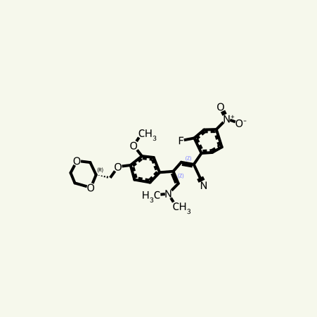 COc1cc(C(=C\N(C)C)/C=C(\C#N)c2ccc([N+](=O)[O-])cc2F)ccc1OC[C@H]1COCCO1